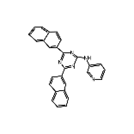 c1cncc(Nc2nc(-c3ccc4ccccc4c3)nc(-c3ccc4ccccc4c3)n2)c1